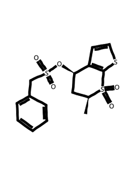 C[C@H]1C[C@@H](OS(=O)(=O)Cc2ccccc2)c2ccsc2S1(=O)=O